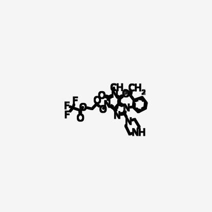 C=Cc1ccccc1-n1c(N2CCNCC2)nc2c1c(=O)n(C)c(=O)n2OC(=O)COC(=O)C(F)(F)F